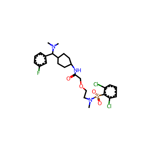 CN(C)C(c1cccc(F)c1)C1CCC(NC(=O)COCCN(C)S(=O)(=O)c2c(Cl)cccc2Cl)CC1